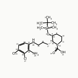 CC(C)(C)[Si](C)(C)O[C@H]1CCCN(C(=O)O)[C@@H]1CCCNc1ccc(Cl)c(Cl)c1N